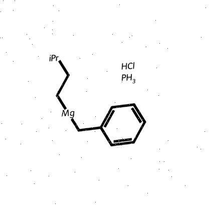 CC(C)C[CH2][Mg][CH2]c1ccccc1.Cl.P